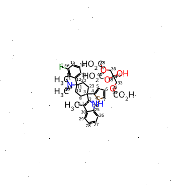 Cc1c(C2(c3cccs3)CCC(c3cccc(F)c3)(N(C)C)CC2)[nH]c2ccccc12.O=C(O)OCC(O)(COC(=O)O)OC(=O)O